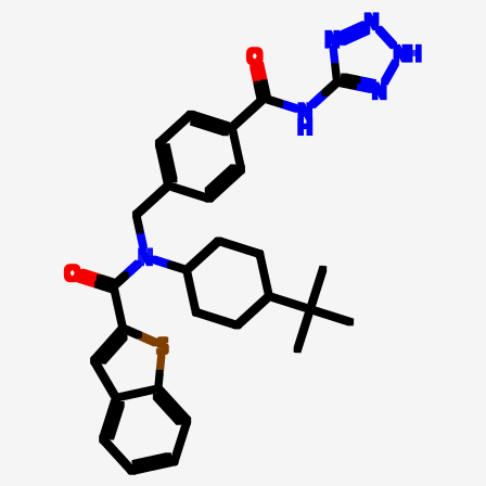 CC(C)(C)C1CCC(N(Cc2ccc(C(=O)Nc3nn[nH]n3)cc2)C(=O)c2cc3ccccc3s2)CC1